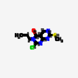 C=CCn1c(Cl)nc2nc(SC)ncc2c1=O